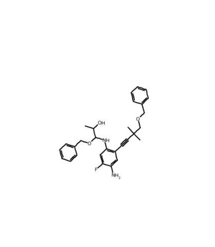 CC(O)C(Nc1cc(F)c(N)cc1C#CC(C)(C)COCc1ccccc1)OCc1ccccc1